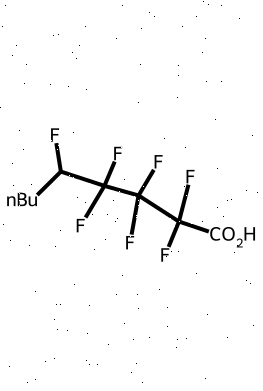 CCCCC(F)C(F)(F)C(F)(F)C(F)(F)C(=O)O